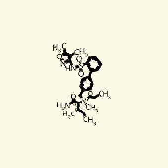 CCC(=O)[N+](C)(Cc1ccc(-c2ccccc2S(=O)(=O)Nc2noc(C)c2C)cc1)[C@H](C(N)=O)[C@@H](C)CC